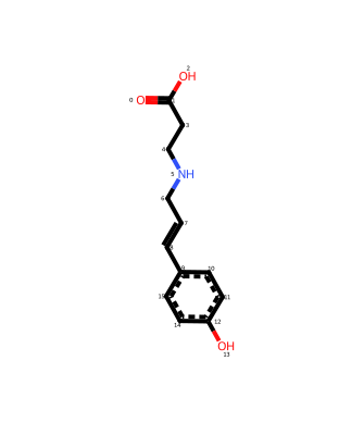 O=C(O)CCNCC=Cc1ccc(O)cc1